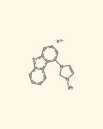 CC(C)N1C=CN(c2cccc3sc4ccccc4c23)C1.[Ir+3]